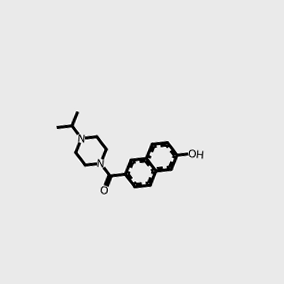 CC(C)N1CCN(C(=O)c2ccc3cc(O)ccc3c2)CC1